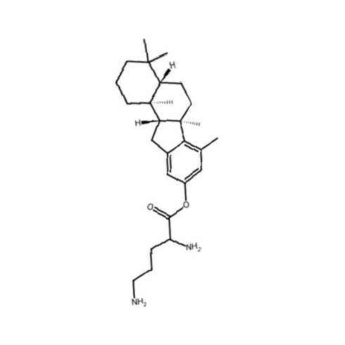 Cc1cc(OC(=O)C(N)CCCN)cc2c1[C@]1(C)CC[C@H]3C(C)(C)CCC[C@]3(C)[C@H]1C2